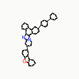 c1ccc(-c2ccc(-c3ccc4c(c3)c3ccccc3c3nc5cc(-c6ccc7oc8ccccc8c7c6)ccn5c43)cc2)cc1